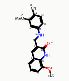 CCOc1cccc2cc(CNc3ccc(C#N)c(OC)c3)c(=O)[nH]c12